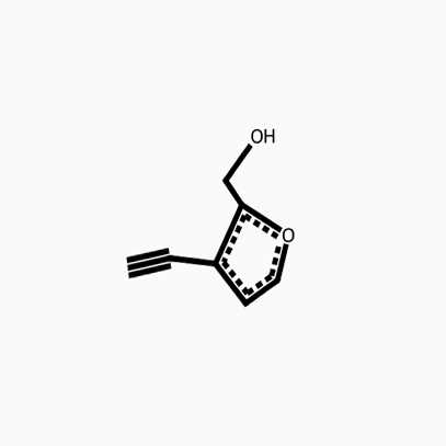 C#Cc1ccoc1CO